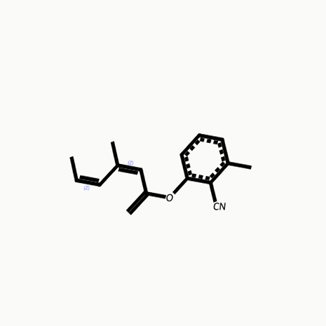 C=C(/C=C(C)\C=C/C)Oc1cccc(C)c1C#N